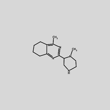 Cc1nc(C2CNCCN2C)nc2c1CCCC2